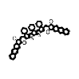 O=C1C(=CC2=Cc3sc4c(c3C23CCCCC3)C2(CCCCC2)c2c-4sc3c2C2(CCCCC2)C(C=C2C(=O)c4cc5cc6ccccc6cc5cc4C2=O)=C3)C(=O)c2cc3cc4ccccc4cc3cc21